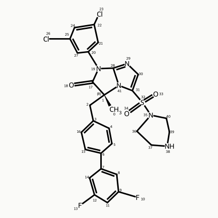 C[C@@]1(Cc2ccc(-c3cc(F)cc(F)c3)cc2)C(=O)N(c2cc(Cl)cc(Cl)c2)c2ncc(S(=O)(=O)N3CCNCC3)n21